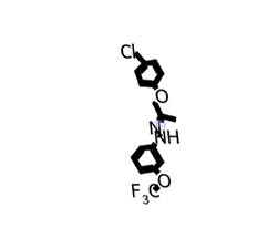 C/C(COc1ccc(Cl)cc1)=N\Nc1cccc(OC(F)(F)F)c1